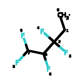 [CH2]CC(F)(F)C(F)C(F)F